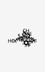 CN1CC(NC(=S)NCCO)=C2N=C(N3C[C@@H](F)C[C@@H]3c3cc(F)ccc3F)C=CN21